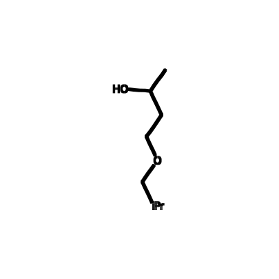 CC(C)COCCC(C)O